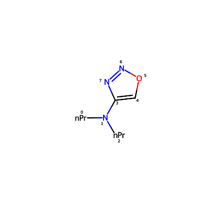 CCCN(CCC)c1conn1